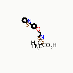 CC(C)(Sc1nc(CCOc2ccc(-c3nc4ccccc4s3)cc2)cs1)C(=O)O